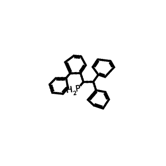 PC(c1ccccc1-c1ccccc1)C(c1ccccc1)c1ccccc1